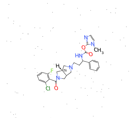 Cn1ccnc1OC(=O)NC(CCN1CC2CN(C(=O)c3c(F)cccc3Cl)C[C@@H]2C1)c1ccccc1